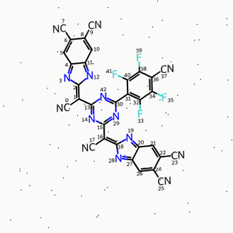 N#CC(=C1N=c2cc(C#N)c(C#N)cc2=N1)c1nc(C(C#N)=C2N=c3cc(C#N)c(C#N)cc3=N2)nc(-c2c(F)c(F)c(C#N)c(F)c2F)n1